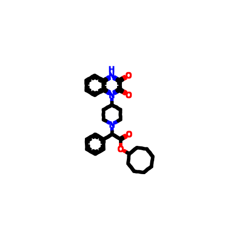 O=C(OC1CCCCCCC1)C(c1ccccc1)N1CCC(n2c(=O)c(=O)[nH]c3ccccc32)CC1